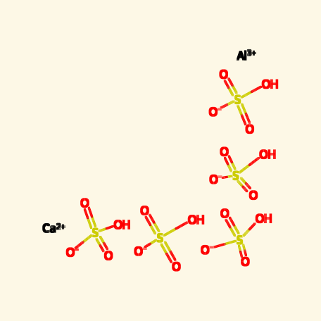 O=S(=O)([O-])O.O=S(=O)([O-])O.O=S(=O)([O-])O.O=S(=O)([O-])O.O=S(=O)([O-])O.[Al+3].[Ca+2]